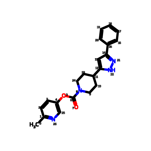 Cc1ccc(OC(=O)N2CCC(c3cc(-c4ccccc4)n[nH]3)CC2)cn1